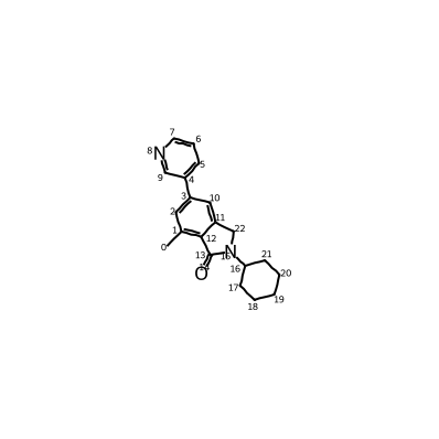 Cc1cc(-c2cccnc2)cc2c1C(=O)N(C1CCCCC1)C2